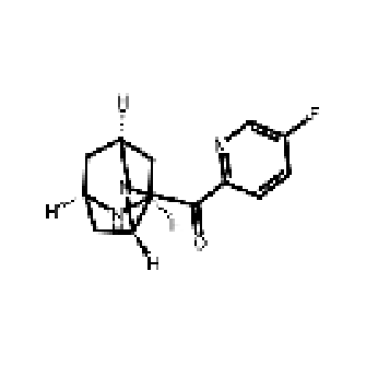 O=C(c1ccc(F)cn1)N1C[C@H]2C[C@@H]3C[C@H]1[C@H](C2)N3